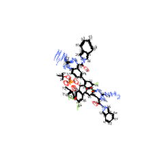 CC(C)(C)OP(=O)(OC(c1cc(F)c(F)cc1-c1ccc2nc(N)nc(C(=O)n3cc4ccccc4c3)c2c1)c1cc(F)c(F)cc1-c1ccc2nc(N)nc(C(=O)n3cc4ccccc4c3)c2c1)OC(C)(C)C